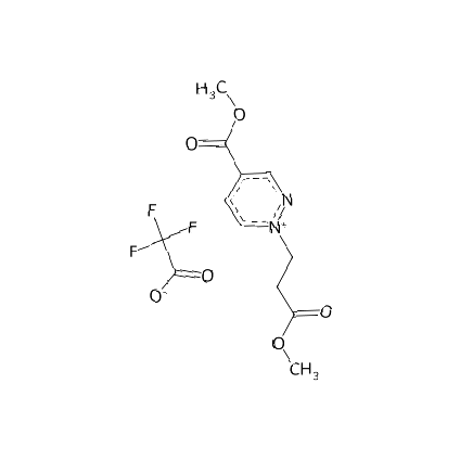 COC(=O)CC[n+]1ccc(C(=O)OC)cn1.O=C([O-])C(F)(F)F